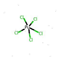 [Cl][Pu]([Cl])([Cl])([Cl])[Cl]